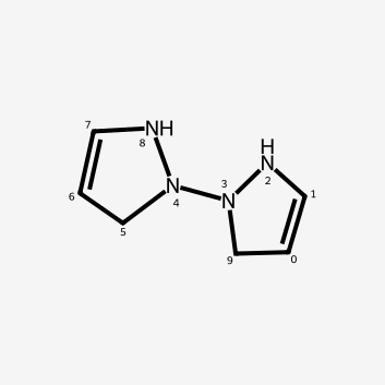 C1=CNN(N2CC=CN2)C1